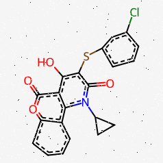 O=c1oc2ccccc2c2c1c(O)c(Sc1cccc(Cl)c1)c(=O)n2C1CC1